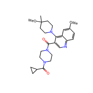 COc1ccc2ncc(C(=O)N3CCN(C(=O)C4CC4)CC3)c(N3CCC(C)(OC)CC3)c2c1